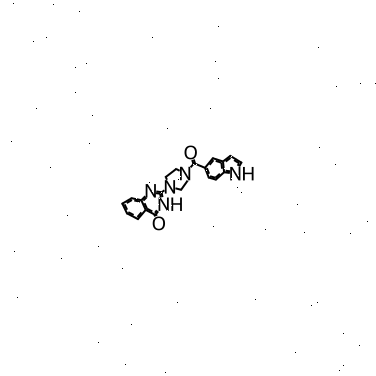 O=C(c1ccc2[nH]ccc2c1)N1CCN(c2nc3ccccc3c(=O)[nH]2)CC1